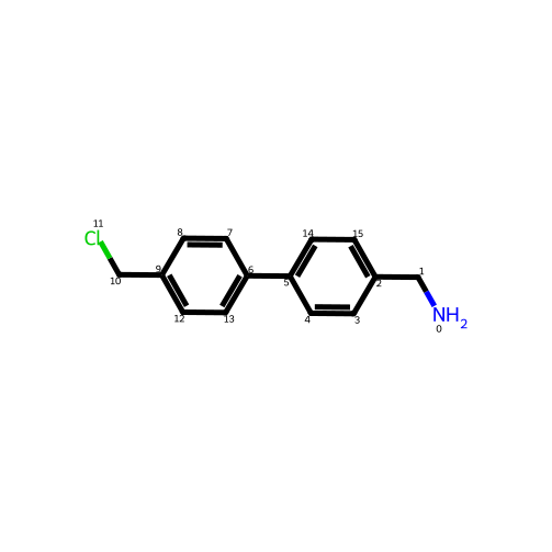 NCc1ccc(-c2ccc(CCl)cc2)cc1